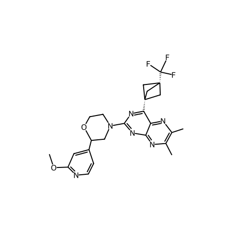 COc1cc(C2CN(c3nc4nc(C)c(C)nc4c([C@]45C[C@](C(F)(F)F)(C4)C5)n3)CCO2)ccn1